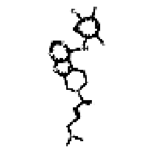 Cc1cc(F)c(Nc2ncnc3sc4c(c23)CCN(C(=O)/C=C/CN(C)C)C4)cc1O